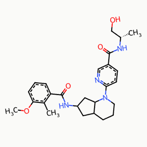 COc1cccc(C(=O)NC2CC3CCCN(c4ccc(C(=O)N[C@@H](C)CO)cn4)C3C2)c1C